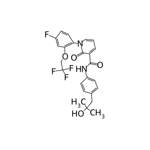 CC(C)(O)Cc1ccc(NC(=O)c2cccn(-c3ccc(F)cc3OCC(F)(F)F)c2=O)cc1